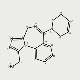 OCc1nnc2n1-c1ccccc1C(N1CC=CCC1)=NC2